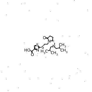 CC(C)CN(CC(C)C)C[C@H]1CCC(=O)N1CCSc1nc(C(=O)O)cs1